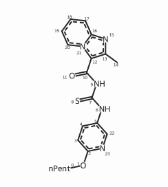 CCCCCOc1ccc(NC(=S)NC(=O)c2c(C)nc3ccccn23)cn1